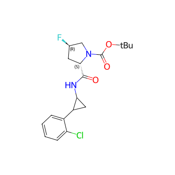 CC(C)(C)OC(=O)N1C[C@H](F)C[C@H]1C(=O)NC1CC1c1ccccc1Cl